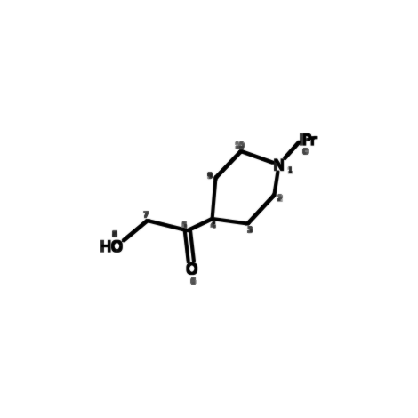 CC(C)N1CCC(C(=O)CO)CC1